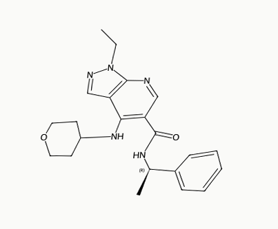 CCn1ncc2c(NC3CCOCC3)c(C(=O)N[C@H](C)c3ccccc3)cnc21